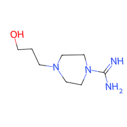 N=C(N)N1CCN(CCCO)CC1